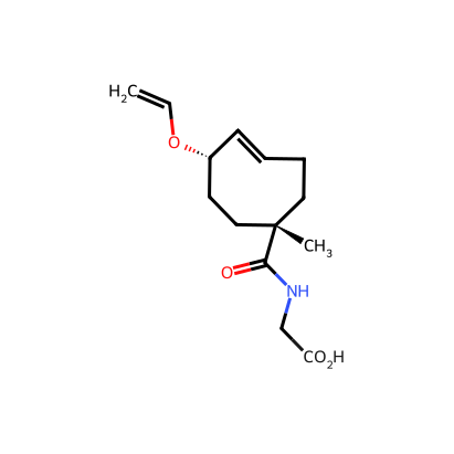 C=CO[C@@H]1/C=C/CC[C@](C)(C(=O)NCC(=O)O)CC1